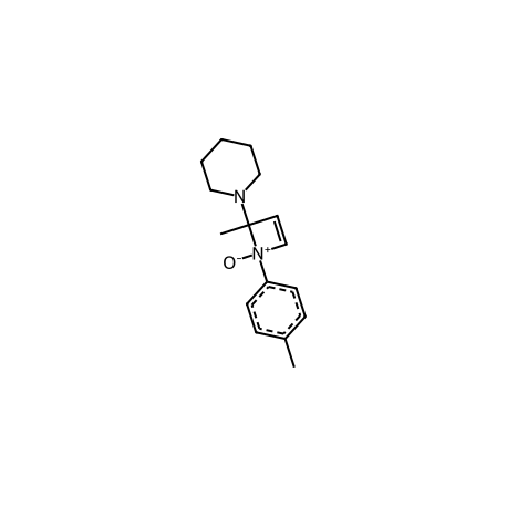 Cc1ccc([N+]2([O-])C=CC2(C)N2CCCCC2)cc1